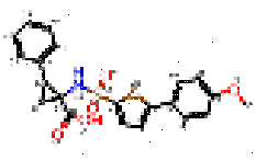 COc1ccc(-c2ccc(S(=O)(=O)NC3(C(=O)O)CC3c3ccccc3)s2)cc1